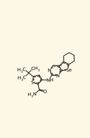 CC(C)(C)c1cc(Nc2ncc3c4c([se]c3n2)CCCC4)c(C(N)=O)s1